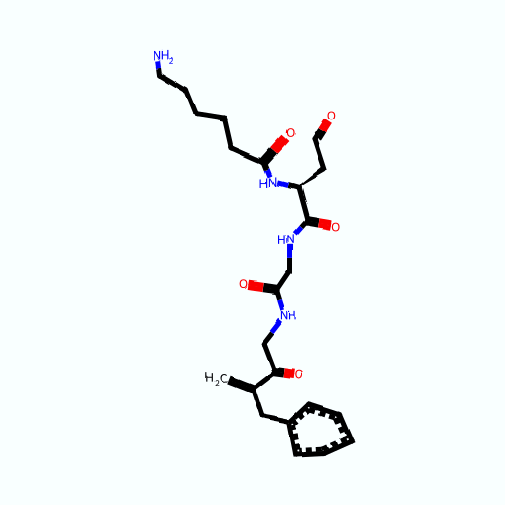 C=C(Cc1ccccc1)C(=O)CNC(=O)CNC(=O)[C@H](CC=O)NC(=O)CCCCCN